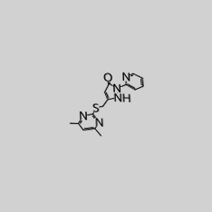 Cc1cc(C)nc(SCc2cc(=O)n(-c3ccccn3)[nH]2)n1